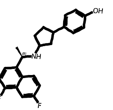 C[C@@H](NC1CCC(c2ccc(O)cc2)C1)c1ccc(F)c2cc(F)ccc12